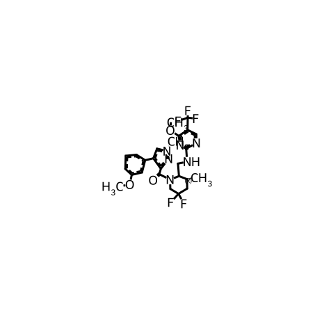 COc1cccc(-c2cn(C)nc2C(=O)N2CC(F)(F)C[C@@H](C)C2CNc2ncc(C(F)(F)F)c(OC)n2)c1